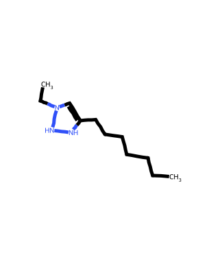 CCCCCCCC1=CN(CC)NN1